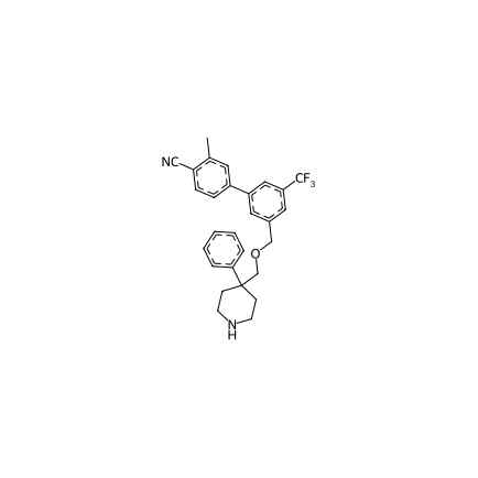 Cc1cc(-c2cc(COCC3(c4ccccc4)CCNCC3)cc(C(F)(F)F)c2)ccc1C#N